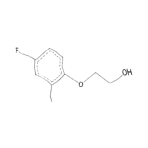 Cc1cc(F)ccc1OCCO